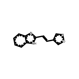 C(=C\c1nc2ccccc2[nH]1)/c1cnoc1